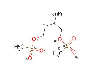 CCCC(CCOS(C)(=O)=O)COS(C)(=O)=O